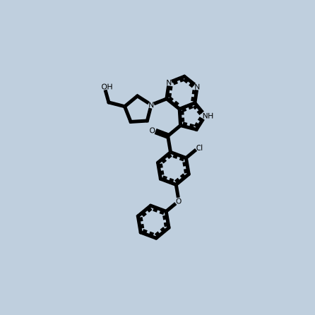 O=C(c1ccc(Oc2ccccc2)cc1Cl)c1c[nH]c2ncnc(N3CCC(CO)C3)c12